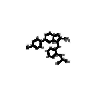 Cc1nc2ccc(-c3ncc(Br)cn3)cn2c1Cc1ccccc1OC(F)F